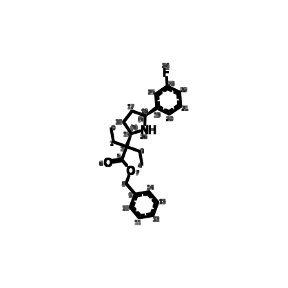 CCC(CC)(C(=O)OCc1ccccc1)[C@H]1CC[C@@H](c2cccc(F)c2)N1